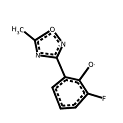 Cc1nc(-c2cccc(F)c2[O])no1